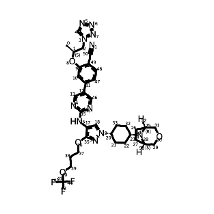 C[C@@H](Cn1cnnn1)Oc1cc(-c2cnc(Nc3cn([C@H]4CC[C@H](N5[C@@H]6CC[C@H]5COC6)CC4)nc3OCCCOC(F)(F)F)nc2)ccc1C#N